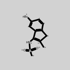 CCCCc1ccc2c(c1)C(NS(C)(=O)=O)=C(C)C2